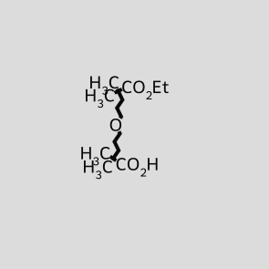 CCOC(=O)C(C)(C)CCCOCCCC(C)(C)C(=O)O